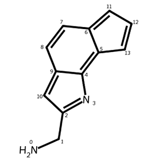 NCC1=Nc2c3c(ccc2=C1)=CC=C3